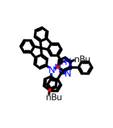 CCCCc1ccc(N(c2ccc(CCCC)cc2)c2ccc3c(c2)C2(c4ccccc4-c4ccc(-c5nc(-c6ccccc6)nc(-c6ccccc6)n5)cc42)c2ccccc2-3)cc1